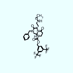 CONCC[C@H]1C(=O)N(Cc2ccccc2)C[C@@H]2N(C(=O)OCc3cc(C(F)(F)F)cc(C(F)(F)F)c3)CCC(=O)N21